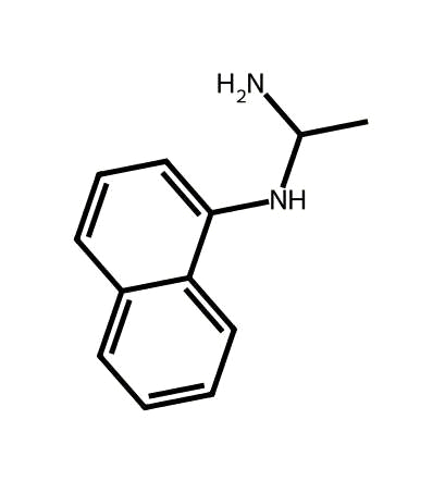 CC(N)Nc1cccc2ccccc12